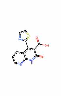 O=C(O)c1c(-c2nccs2)c2cccnc2[nH]c1=O